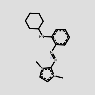 Cn1cc[n+](C)c1/N=N/c1ccccc1NC1CCCCC1